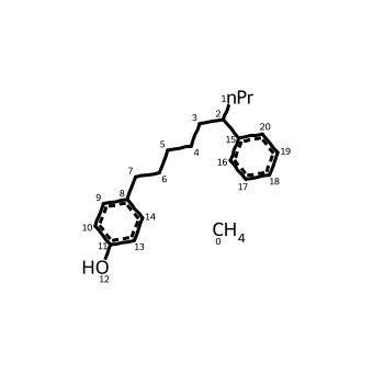 C.CCCC(CCCCCc1ccc(O)cc1)c1ccccc1